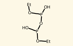 CCOP(O)OP(O)OCC